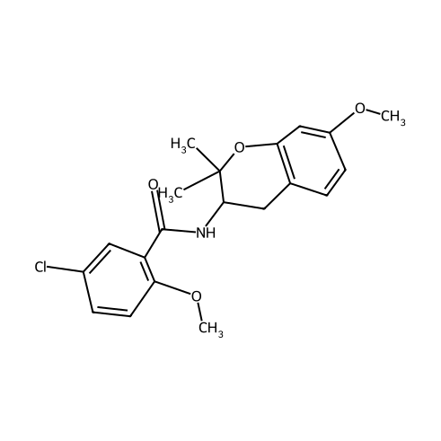 COc1ccc2c(c1)OC(C)(C)C(NC(=O)c1cc(Cl)ccc1OC)C2